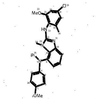 COc1ccc(N(c2cccc3nc(Nc4c(C)cc(Cl)cc4OC)n(C)c23)C(C)C)cc1